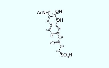 CC(=O)NC(Cc1ccc(OC(=O)CCS(=O)(=O)O)cc1)C(O)O